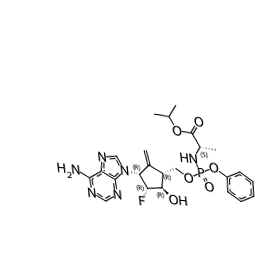 C=C1[C@@H](n2cnc3c(N)ncnc32)[C@@H](F)[C@H](O)[C@H]1COP(=O)(N[C@@H](C)C(=O)OC(C)C)Oc1ccccc1